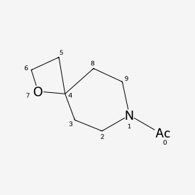 CC(=O)N1CCC2(CCO2)CC1